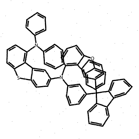 c1ccc(N(c2ccccc2)c2cccc3sc4ccc(N(c5cccc(C6(c7ccccc7)c7ccccc7-c7ccccc76)c5)c5cccc6oc7ccccc7c56)cc4c23)cc1